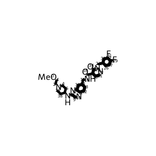 COCCN1CCC(Nc2cnc3ccc(CNC(=O)c4ccnn(Cc5ccc(F)c(F)c5)c4=O)cc3n2)CC1